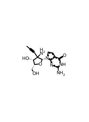 CC#CC1(N)[C@@H](O)[C@@H](CO)O[C@H]1n1ccc2c(=O)[nH]c(N)nc21